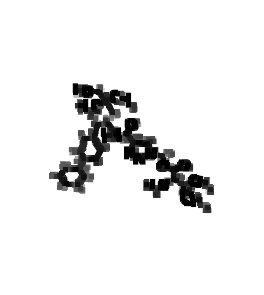 [CH2]C(C)(CO)C[C@@H]([CH]c1ccc(-c2ccccc2)cc1)NC(=O)c1cn(COC(=O)[C@@H](N)C(C)C)nn1